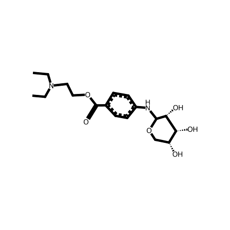 CCN(CC)CCOC(=O)c1ccc(NC2OC[C@@H](O)[C@@H](O)[C@H]2O)cc1